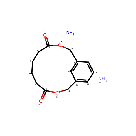 N.N.O=C1CCCCC(=O)OCc2cccc(c2)CO1